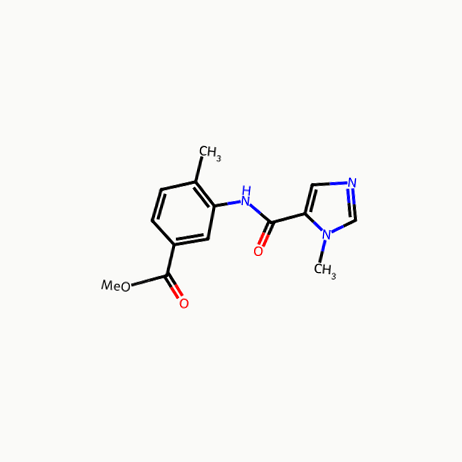 COC(=O)c1ccc(C)c(NC(=O)c2cncn2C)c1